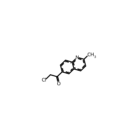 Cc1ccc2cc(C(=O)CCl)ccc2n1